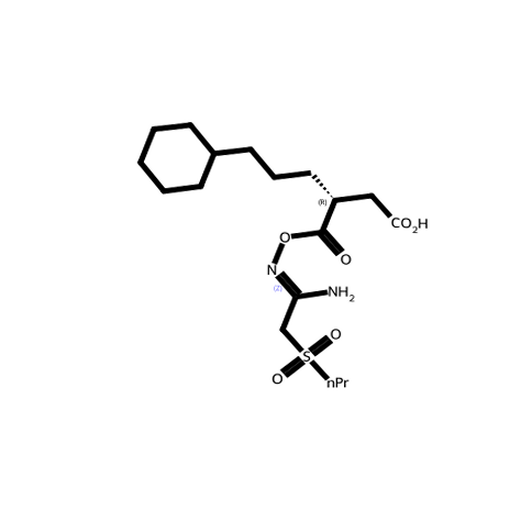 CCCS(=O)(=O)C/C(N)=N/OC(=O)[C@H](CCCC1CCCCC1)CC(=O)O